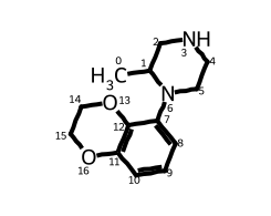 CC1CNCCN1c1cccc2c1OCCO2